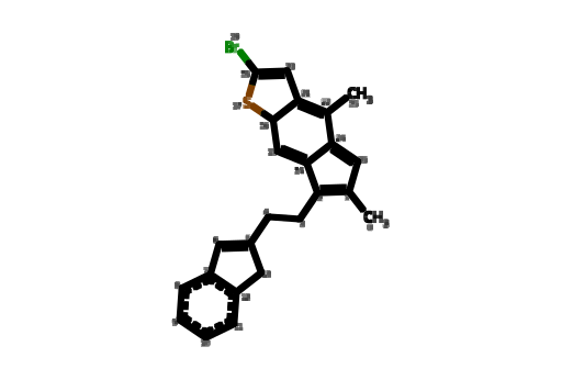 CC1=C(CCC2=Cc3ccccc3C2)C2=CC3SC(Br)=CC3=C(C)C2=C1